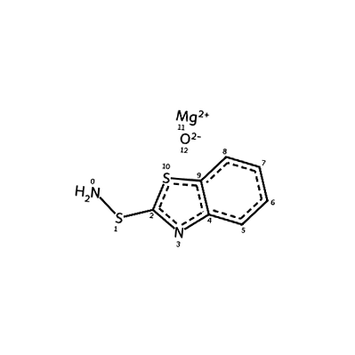 NSc1nc2ccccc2s1.[Mg+2].[O-2]